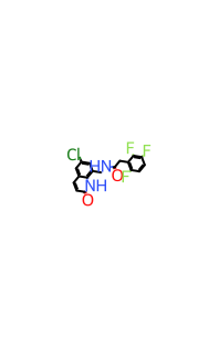 O=C(Cc1c(F)ccc(F)c1F)NCc1cc(Cl)cc2ccc(=O)[nH]c12